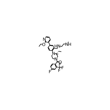 CCOc1ncccc1-c1ccc(N2CCN(C(=O)c3ccc(F)cc3C(F)(F)F)C[C@H]2CC)c(CNCCNC)c1